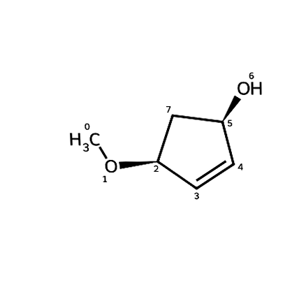 CO[C@@H]1C=C[C@H](O)C1